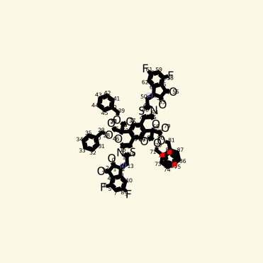 O=C1C(=O)c2c(F)cc(F)cc2/C1=C/c1nc2c(s1)-c1cc3c(cc1C(C(=O)OCc1ccccc1)(C(=O)OCc1ccccc1)O2)-c1sc(/C=C2\C(=O)C(=O)c4c(F)cc(F)cc42)nc1OC3(C(=O)OCc1ccccc1)C(=O)OCc1ccccc1